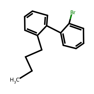 CCCCc1ccccc1-c1ccccc1Br